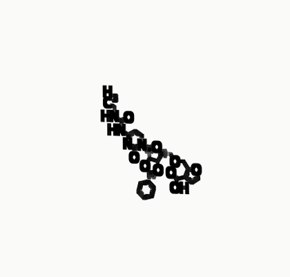 CCNC(=O)Nc1ccn([C@@H]2O[C@H](COCc3occc3C(=O)O)C3O[C@H](c4ccccc4)OC32)c(=O)n1